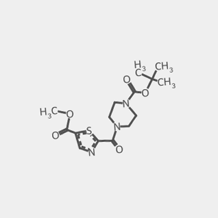 COC(=O)c1cnc(C(=O)N2CCN(C(=O)OC(C)(C)C)CC2)s1